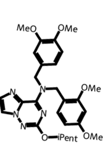 CCCC(C)Oc1nc(N(Cc2ccc(OC)c(OC)c2)Cc2ccc(OC)cc2OC)c2nccn2n1